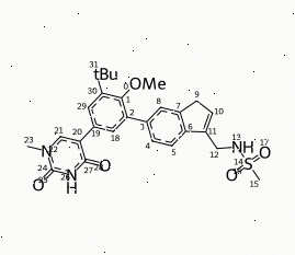 COc1c(-c2ccc3c(c2)CC=C3CNS(C)(=O)=O)cc(-c2cn(C)c(=O)[nH]c2=O)cc1C(C)(C)C